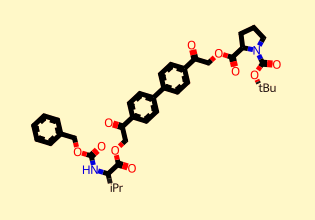 CC(C)C(NC(=O)OCc1ccccc1)C(=O)OCC(=O)c1ccc(-c2ccc(C(=O)COC(=O)C3CCCN3C(=O)OC(C)(C)C)cc2)cc1